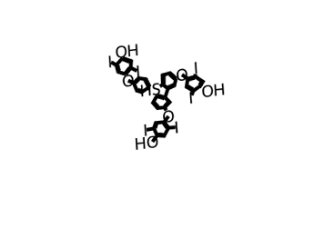 Oc1cc(I)c(Oc2ccc([SH]3c4ccc(Oc5cc(I)c(O)cc5I)cc4-c4cc(Oc5cc(I)c(O)cc5I)ccc43)cc2)cc1I